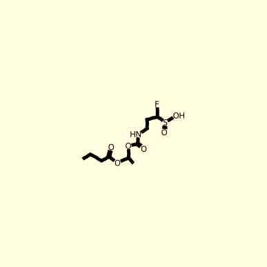 CCCC(=O)OC(C)OC(=O)NCCC(F)S(=O)O